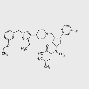 CCOc1cccc(Cc2cc(C3CCN(CC4CC(N(C)[C@H](CC(C)C)C(=O)O)CC4c4cccc(F)c4)CC3)n(CC)n2)c1